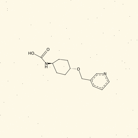 O=C(O)N[C@H]1CC[C@H](OCc2cccnc2)CC1